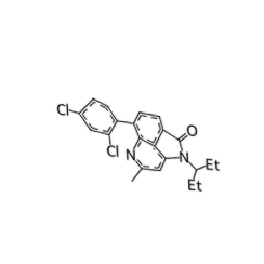 CCC(CC)N1C(=O)c2ccc(-c3ccc(Cl)cc3Cl)c3nc(C)cc1c23